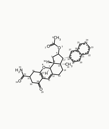 CC(=O)OC1C[C@H]2[C@@H]3OC4=C(C=C3CC[C@]2(C)[C@H]1c1ccc2ccncc2c1)C(=O)CC(C(N)=O)C4